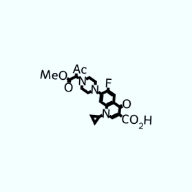 COC(=O)C(C(C)=O)N1CCN(c2cc3c(cc2F)c(=O)c(C(=O)O)cn3C2CC2)CC1